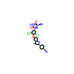 Cc1cc(-c2ccc(C#N)c(F)c2)nc2ccc(Oc3c(Cl)cc(-n4nc(C#N)c(=O)[nH]c4=O)cc3Cl)cc12